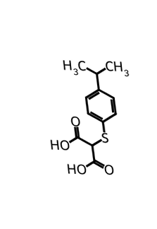 CC(C)c1ccc(SC(C(=O)O)C(=O)O)cc1